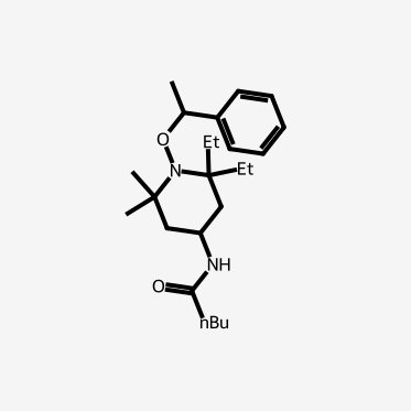 CCCCC(=O)NC1CC(C)(C)N(OC(C)c2ccccc2)C(CC)(CC)C1